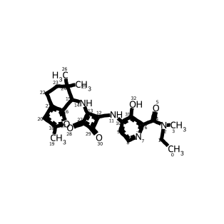 CCN(C)C(=O)c1nccc(Nc2c(NC3c4oc(C)cc4CCC3(C)C)c(=O)c2=O)c1O